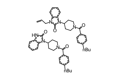 C=CCn1c(=O)n(C2CCN(C(=O)c3ccc(CCCC)cc3)CC2)c2ccccc21.CCCCc1ccc(C(=O)N2CCC(n3c(=O)[nH]c4ccccc43)CC2)cc1